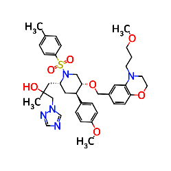 COCCCN1CCOc2ccc(CO[C@H]3CN(S(=O)(=O)c4ccc(C)cc4)[C@@H](CC(C)(O)Cn4cncn4)C[C@@H]3c3ccc(OC)cc3)cc21